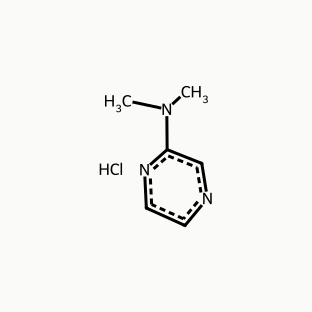 CN(C)c1cnccn1.Cl